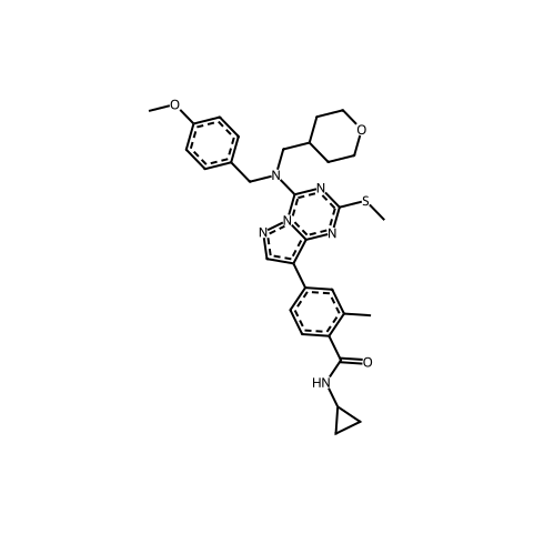 COc1ccc(CN(CC2CCOCC2)c2nc(SC)nc3c(-c4ccc(C(=O)NC5CC5)c(C)c4)cnn23)cc1